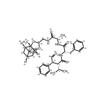 CC(C)[C@@H](C(=O)N[C@@H](Cc1ccccc1)C(=O)N[C@@H](C)C(=O)NCB1O[C@@H]2C[C@@H]3C[C@@H](C3(C)C)[C@]2(C)O1)N(C=O)c1ccccc1